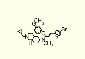 COc1cccc([C@@]23CCN(CC4CC4)C[C@H]2CC[C@@H](N(C)C(=O)/C=C/c2cc(Br)cs2)C3)c1